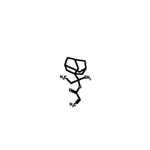 C=CC(=O)OC(C)(CC)C12CC3CC(CC(C3)C1)C2